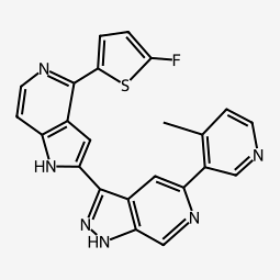 Cc1ccncc1-c1cc2c(-c3cc4c(-c5ccc(F)s5)nccc4[nH]3)n[nH]c2cn1